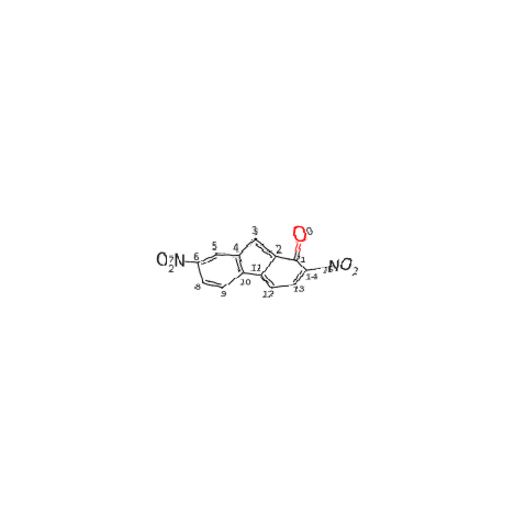 O=C1C2=Cc3cc([N+](=O)[O-])ccc3C2=CC=C1[N+](=O)[O-]